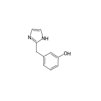 Oc1cccc(Cc2ncc[nH]2)c1